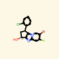 O[C@H]1CC(c2ccccc2Cl)c2c1nc1cc(F)c(Br)cn21